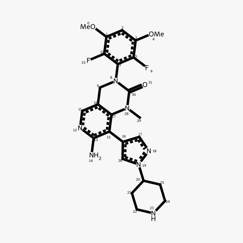 COc1cc(OC)c(F)c(N2Cc3cnc(N)c(-c4cnn(C5CCNCC5)c4)c3N(C)C2=O)c1F